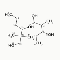 CCC(O)C(C)CO.CCCC(O)C(C)(C)CO